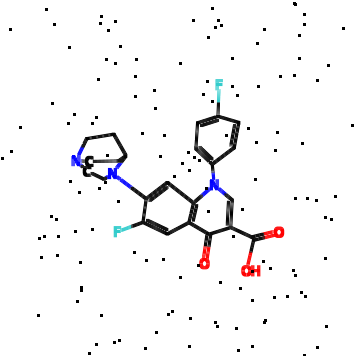 O=C(O)c1cn(-c2ccc(F)cc2)c2cc(N3CCN4CCC3CC4)c(F)cc2c1=O